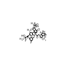 Cn1nc(NS(C)(=O)=O)c2c(Cl)ccc(-c3ccc(C#CC(C)(O)CF)nc3[C@H](Cc3cc(F)cc(F)c3)NC(=O)Cn3nc(C(F)(F)F)c4c3C(F)(F)[C@@H]3CC[C@H]43)c21